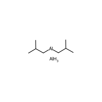 CC(C)[CH2][Al][CH2]C(C)C.[AlH3]